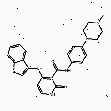 CN1CCN(c2ccc(NC(=O)c3c(Nc4c[nH]c5ccccc45)cc[nH]c3=O)cc2)CC1